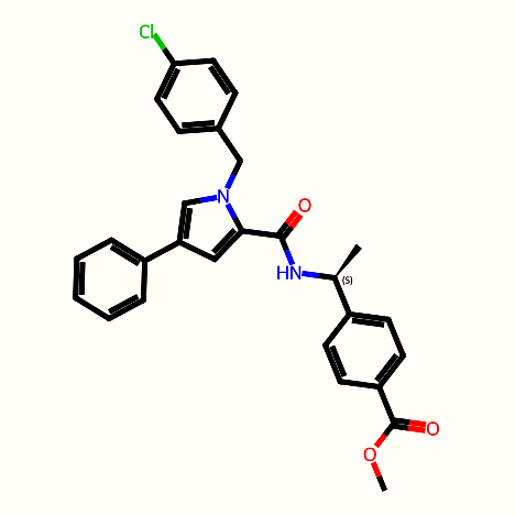 COC(=O)c1ccc([C@H](C)NC(=O)c2cc(-c3ccccc3)cn2Cc2ccc(Cl)cc2)cc1